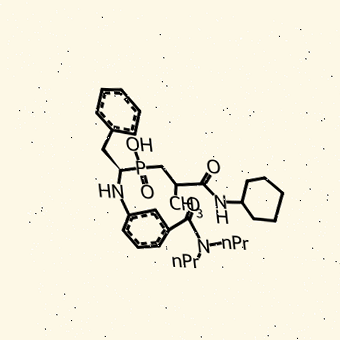 CCCN(CCC)C(=O)c1cccc(N[C@@H](Cc2ccccc2)P(=O)(O)CC(C)C(=O)NC2CCCCC2)c1